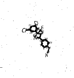 N#CCc1ccc(C2=NOC(c3cc(Cl)cc(Cl)c3)(C(F)(F)F)C2)cc1